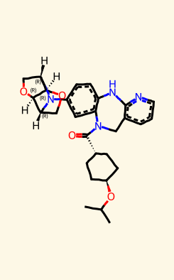 CC(C)O[C@H]1CC[C@H](C(=O)N2Cc3cccnc3Nc3ccc(N4[C@@H]5CO[C@H]6[C@@H]5OC[C@H]64)cc32)CC1